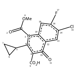 COC(=O)n1c(C2CC2)c(C(=O)O)c(=O)c2cc(Cl)c(F)cc21